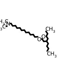 CCCCCC(CCCCC)CC(=O)OCCCCCCCCCCCCCN(C)CC